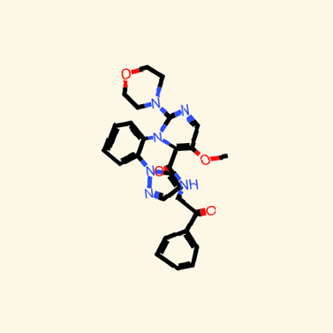 COC1=C(C(=O)NCC(=O)c2ccccc2)N(c2ccccc2-n2cccn2)C(N2CCOCC2)N=C1